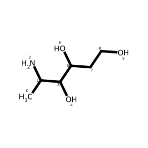 CC(N)C(O)C(O)CCO